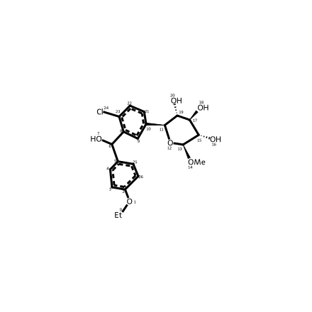 CCOc1ccc(C(O)c2cc([C@@H]3O[C@H](OC)[C@@H](O)[C@H](O)[C@H]3O)ccc2Cl)cc1